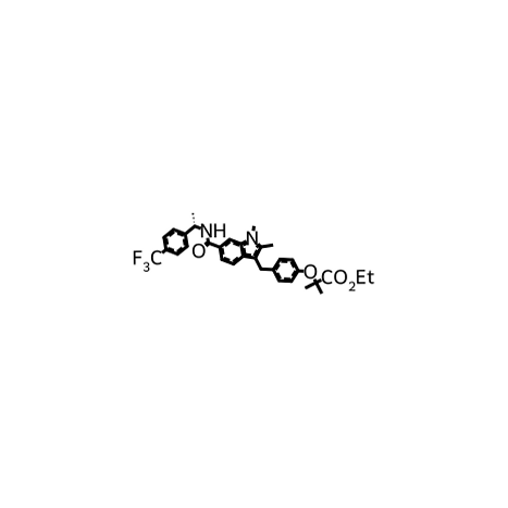 CCOC(=O)C(C)(C)Oc1ccc(Cc2c(C)n(C)c3cc(C(=O)N[C@@H](C)c4ccc(C(F)(F)F)cc4)ccc23)cc1